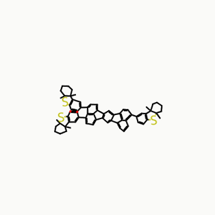 CC12CCCCC1(C)c1cc(-c3ccc4c5cc6c(cc5c5cccc3c54)c3ccc(-c4ccc5c(c4)C4(C)CCCCC4(C)S5)c4c(-c5ccc7c(c5)C5(C)CCCCC5(C)S7)ccc6c43)ccc1S2